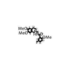 COc1cc2c(cc1OC)CN(CNC(=O)c1cc(I)ccc1OC)CC2